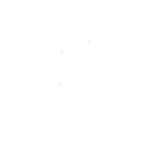 O=C(c1cc(-c2csc(-c3ccsc3)n2)c[nH]1)N1CCCC1